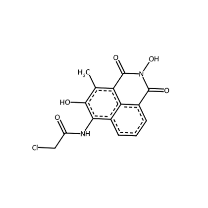 Cc1c(O)c(NC(=O)CCl)c2cccc3c2c1C(=O)N(O)C3=O